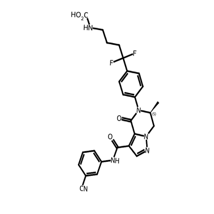 C[C@H]1Cn2ncc(C(=O)Nc3cccc(C#N)c3)c2C(=O)N1c1ccc(C(F)(F)CCCNC(=O)O)cc1